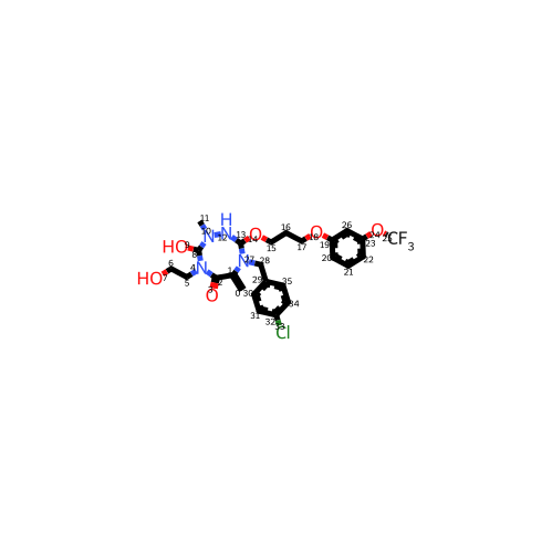 C=C1C(=O)N(CCO)C(O)N(C)NC(OCCCOc2cccc(OC(F)(F)F)c2)N1Cc1ccc(Cl)cc1